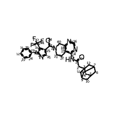 O=C(CC12CC3CC(CC(C3)C1)C2)Nc1ncnc2c1CCN(C(=O)c1cnn(-c3ccccc3)c1C(F)(F)F)C2